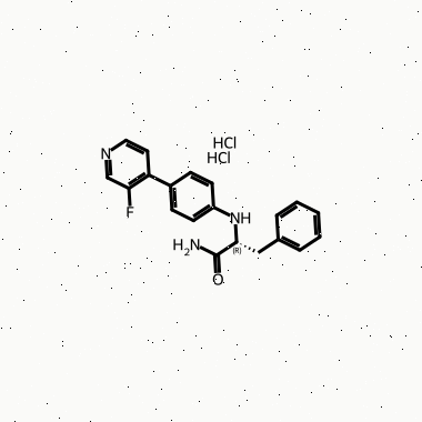 Cl.Cl.NC(=O)[C@@H](Cc1ccccc1)Nc1ccc(-c2ccncc2F)cc1